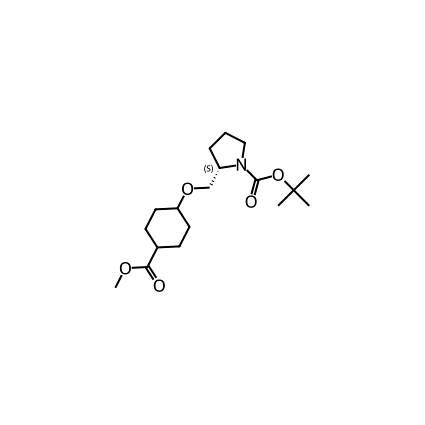 COC(=O)C1CCC(OC[C@@H]2CCCN2C(=O)OC(C)(C)C)CC1